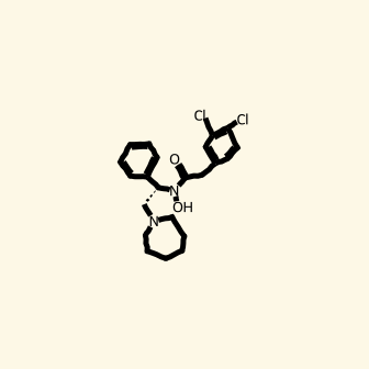 O=C(Cc1ccc(Cl)c(Cl)c1)N(O)[C@H](CN1CCCCCC1)c1ccccc1